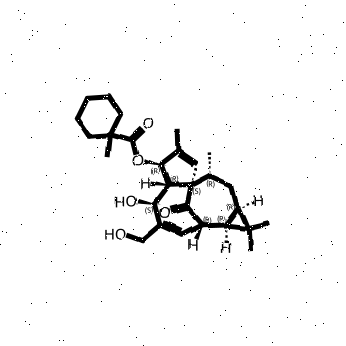 CC1=C[C@]23C(=O)[C@@H](C=C(CO)[C@@H](O)[C@@H]2[C@H]1OC(=O)C1(C)CCCCC1)[C@H]1[C@@H](C[C@H]3C)C1(C)C